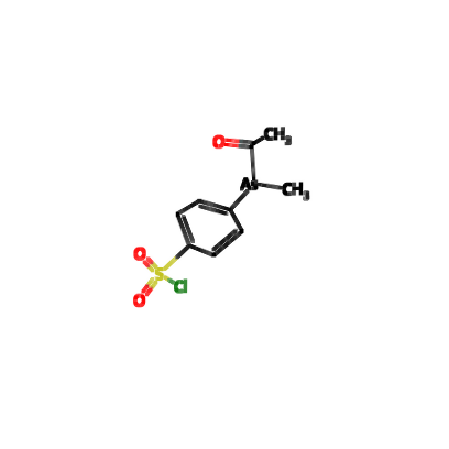 CC(=O)[As](C)c1ccc(S(=O)(=O)Cl)cc1